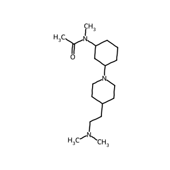 CC(=O)N(C)C1CCCC(N2CCC(CCN(C)C)CC2)C1